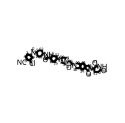 CN(c1ccc(C#N)c(Cl)c1)[C@H]1CC[C@H](NC(=O)c2ccc(N3CCN(CC(=O)N4Cc5cc6c(cc5C4)C(=O)N(C4CCC(=O)NC4=O)C6)CC3)cc2)CC1